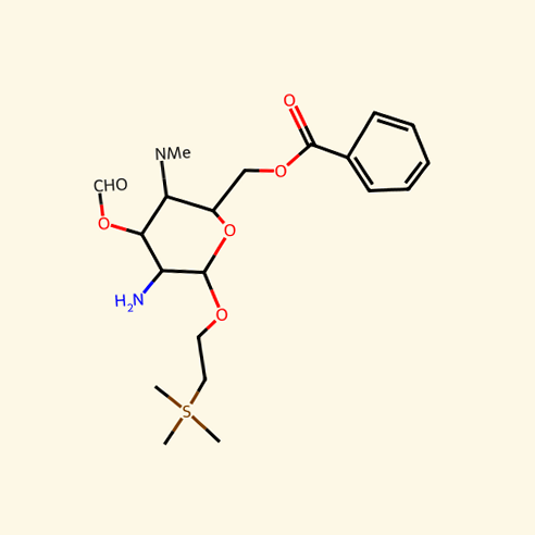 CNC1C(COC(=O)c2ccccc2)OC(OCCS(C)(C)C)C(N)C1OC=O